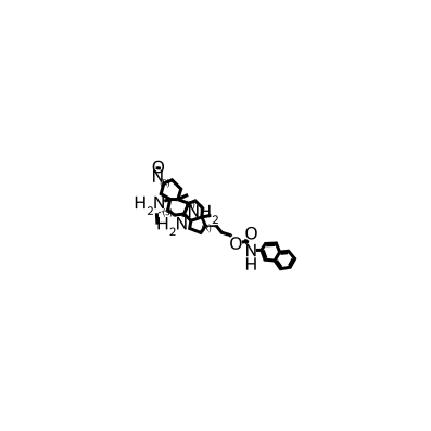 CC[C@H]1CC2(N)C3CC[C@H](CCCOC(=O)Nc4ccc5ccccc5c4)C3(C)CC[C@]2(N)C2(C)CC[C@@H](N=O)CC12N